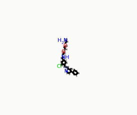 Cc1c(-c2ccccc2)ccnc1/C=C/c1ccc(CNCCOCCOCCN)cc1Cl